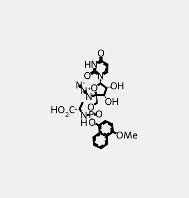 COc1ccc(OP(=O)(N[C@@H](C)C(=O)O)OC[C@@]2(N=[N+]=[N-])O[C@@H](n3ccc(=O)[nH]c3=O)[C@H](O)[C@@H]2O)c2ccccc12